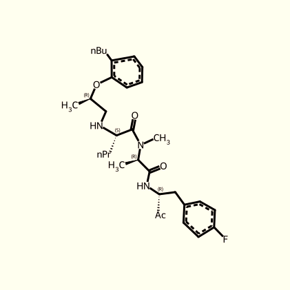 CCCCc1ccccc1O[C@H](C)CN[C@@H](CCC)C(=O)N(C)[C@H](C)C(=O)N[C@H](Cc1ccc(F)cc1)C(C)=O